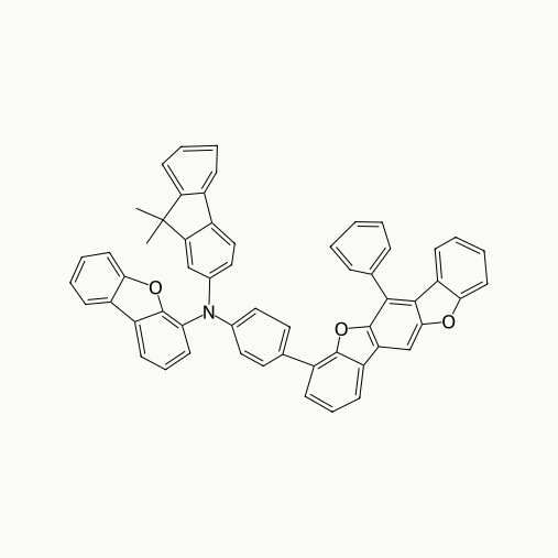 CC1(C)c2ccccc2-c2ccc(N(c3ccc(-c4cccc5c4oc4c(-c6ccccc6)c6c(cc45)oc4ccccc46)cc3)c3cccc4c3oc3ccccc34)cc21